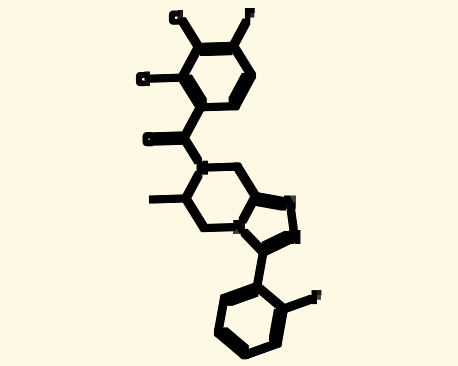 CC1Cn2c(nnc2-c2ccccc2F)CN1C(=O)c1ccc(F)c(Cl)c1Cl